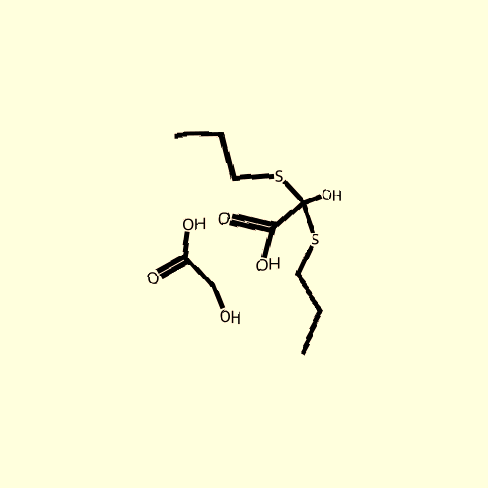 CCCSC(O)(SCCC)C(=O)O.O=C(O)CO